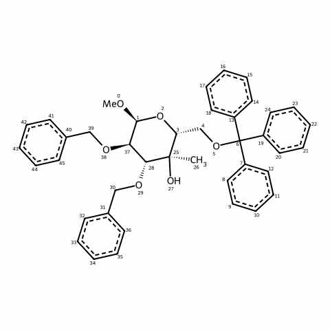 CO[C@H]1O[C@H](COC(c2ccccc2)(c2ccccc2)c2ccccc2)[C@@](C)(O)[C@H](OCc2ccccc2)[C@H]1OCc1ccccc1